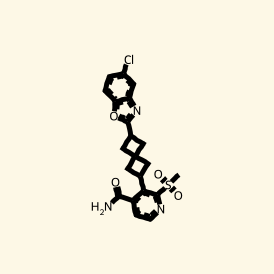 CS(=O)(=O)c1nccc(C(N)=O)c1C1CC2(CC(c3nc4cc(Cl)ccc4o3)C2)C1